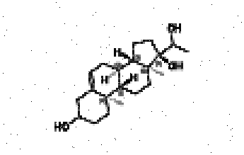 CC(O)[C@@]1(O)CC[C@H]2[C@@H]3CC=C4CC(O)CC[C@]4(C)[C@H]3CC[C@@]21C